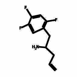 C=CCC(N)Cc1cc(F)c(F)cc1F